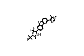 Cc1c(-c2ccc3oc4cc(C(NC(C)CC(C)(C)F)C(F)(F)F)ccc4c3c2)ncn1C